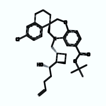 C=CCC[C@H](O)[C@@H]1CC[C@H]1CN1C[C@@]2(CCCc3cc(Cl)ccc32)COc2ccc(C(=O)OC(C)(C)C)cc21